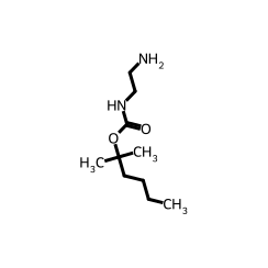 CCCCC(C)(C)OC(=O)NCCN